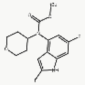 CC(C)(C)OC(=O)N(c1cc(F)cc2[nH]c(I)cc12)C1CCOCC1